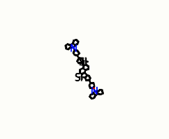 C[Si]1(C)c2cc(-c3ccc(-n4c5ccccc5c5ccccc54)cc3)ccc2-c2c1ccc1c3c(ccc21)[Si](C)(C)c1cc(-c2ccc(-n4c5ccccc5c5ccccc54)cc2)ccc1-3